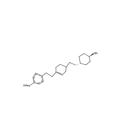 CCCCCCc1ccc(CCC2=CCC(CC[C@H]3CC[C@H](CCC)CC3)CC2)cc1